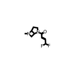 CN1CC2C1CCN2C(=O)/C=C/C(F)F